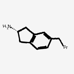 CC(C)Cc1ccc2c(c1)C[C@@H](N)C2